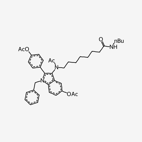 CCCCNC(=O)CCCCCCCN(C(C)=O)c1c(-c2ccc(OC(C)=O)cc2)n(Cc2ccccc2)c2ccc(OC(C)=O)cc12